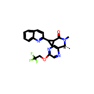 C[C@H](c1cnc(OCC(F)(F)F)cn1)N(C)C(=O)C1CC1c1ccc2ccccc2n1